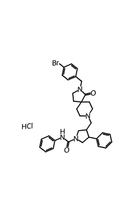 Cl.O=C(Nc1ccccc1)N1CC(CN2CCC3(CC2)CCN(Cc2ccc(Br)cc2)C3=O)C(c2ccccc2)C1